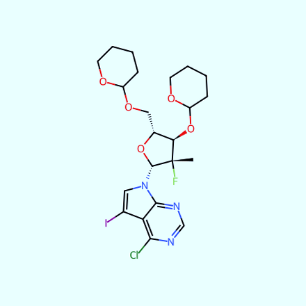 C[C@]1(F)[C@H](OC2CCCCO2)[C@@H](COC2CCCCO2)O[C@H]1n1cc(I)c2c(Cl)ncnc21